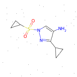 Nc1cn(S(=O)(=O)C2CC2)nc1C1CC1